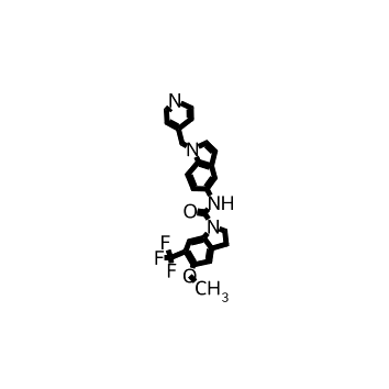 COc1cc2c(cc1C(F)(F)F)N(C(=O)Nc1ccc3c(ccn3Cc3ccncc3)c1)CC2